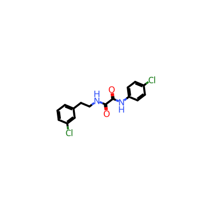 O=C(NCCc1cccc(Cl)c1)C(=O)Nc1ccc(Cl)cc1